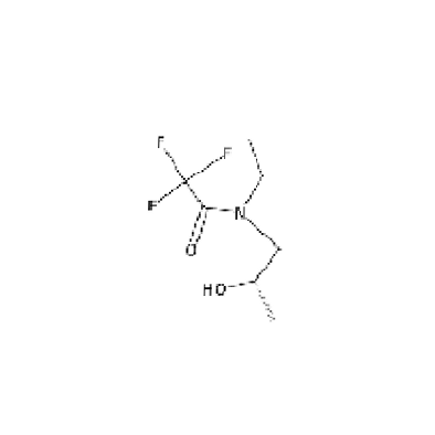 CCN(C[C@H](C)O)C(=O)C(F)(F)F